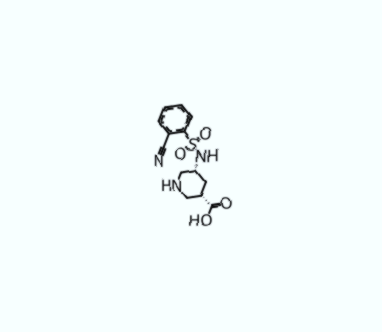 N#Cc1ccccc1S(=O)(=O)N[C@H]1CNC[C@@H](C(=O)O)C1